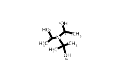 CC(O)N(C(C)O)C(C)(C)O